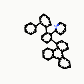 c1ccc(-c2ccccc2-c2cccc(-c3cccc4c5ccccc5c5ccccc5c34)c2-c2ccccn2)cc1